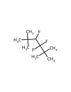 CC(C)(C)C(F)C(F)(F)C(C)(C)C